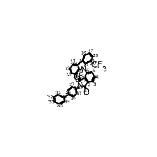 O=C1c2cccc(-n3c4c(C(F)(F)F)cccc4c4cccc(C(F)(F)F)c43)c2C(=O)N1c1ccc(-c2ccccc2)cc1